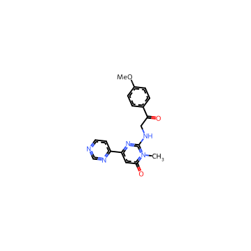 COc1ccc(C(=O)CNc2nc(-c3ccncn3)cc(=O)n2C)cc1